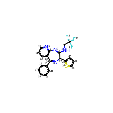 FC(F)(F)CNC1=Nc2ncccc2C(c2ccccc2)=NC1c1cccs1